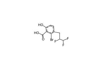 O=C(O)c1c(O)ccc(CC(F)C(F)F)c1Br